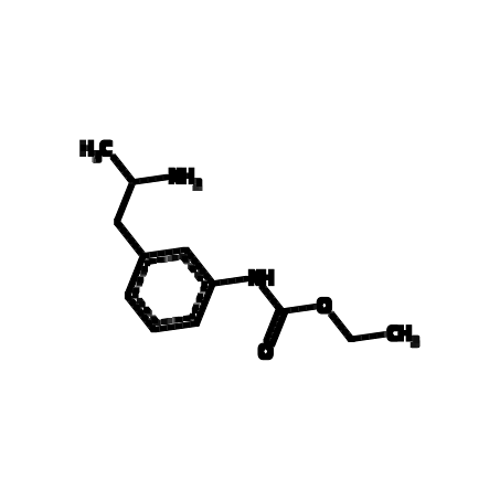 CCOC(=O)Nc1cccc(CC(C)N)c1